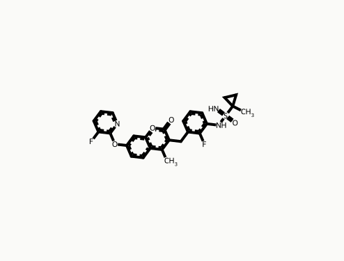 Cc1c(Cc2cccc(NS(=N)(=O)C3(C)CC3)c2F)c(=O)oc2cc(Oc3ncccc3F)ccc12